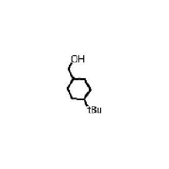 CC(C)(C)C1CCC(CO)CC1